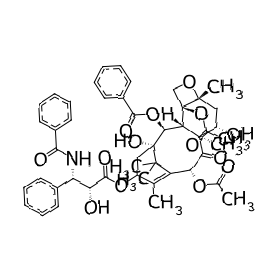 CC(=O)O[C@H]1C(=O)[C@]2(C)[C@@H](O)C[C@@]3(C)OC[C@@]3(OC(C)=O)[C@H]2[C@H](OC(=O)c2ccccc2)[C@]2(O)CC(OC(=O)[C@H](O)[C@@H](NC(=O)c3ccccc3)c3ccccc3)C(C)=C1C2(C)C